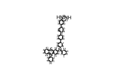 c1ccc(N(c2ccc(-c3ccc(-c4ccc(-c5ccc6c(c5)CNCN6)cc4)cc3)cc2)c2ccc3c(c2)Sc2ccccc2N3c2ccccc2)cc1